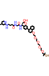 Cc1ccnc(NCCCC(=O)NCC(=O)N[C@@H](CC(=O)O)c2ccc(-c3ccc(OCCOCCOCCOCCOCC(C)(C)S)c4ccccc34)cc2)c1